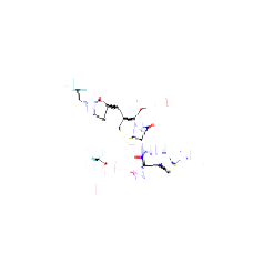 Nc1nc(/C(=N/O)C(=O)N[C@@H]2C(=O)N3C(C(=O)O)=C(/C=C4\CCN(CC(F)(F)F)C4=O)CS[C@H]23)cs1.O=C(O)C(F)(F)F